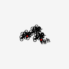 [Eu+3].[Eu+3].[Eu+3].[Eu+3].[N-]=[N+]=C(C(=O)[O-])N(CCN(CC(=O)[O-])CC(=O)[O-])C(C(=O)[O-])c1ccccc1.[N-]=[N+]=C(C(=O)[O-])N(CCN(CC(=O)[O-])CC(=O)[O-])C(C(=O)[O-])c1ccccc1.[N-]=[N+]=C(C(=O)[O-])N(CCN(CC(=O)[O-])CC(=O)[O-])C(C(=O)[O-])c1ccccc1